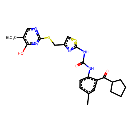 CCOC(=O)c1cnc(SCc2csc(NC(=O)Nc3ccc(C)cc3C(=O)C3CCCC3)n2)nc1O